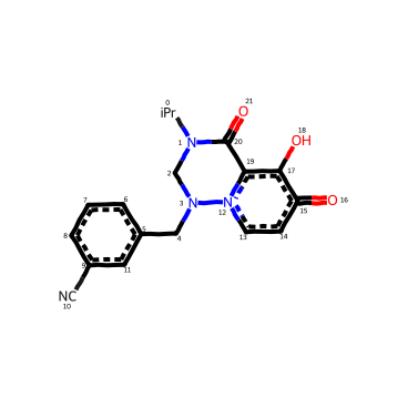 CC(C)N1CN(Cc2cccc(C#N)c2)n2ccc(=O)c(O)c2C1=O